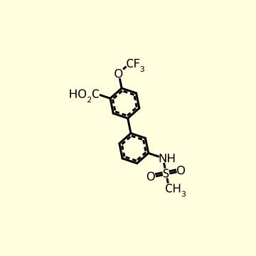 CS(=O)(=O)Nc1cccc(-c2ccc(OC(F)(F)F)c(C(=O)O)c2)c1